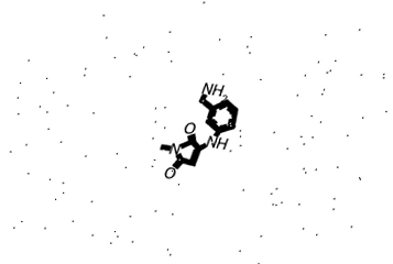 CN1C(=O)C=C(Nc2cccc(CN)c2)C1=O